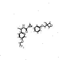 CC(NC(=O)[C@H]1C[C@@H]1c1cccc(OCC2(C)COC2)c1)c1ccc(OCC(F)(F)F)cn1